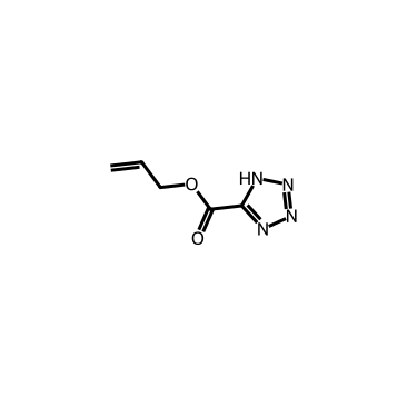 C=CCOC(=O)c1nnn[nH]1